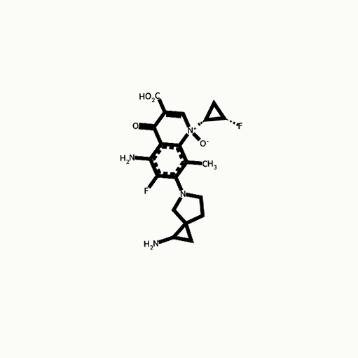 Cc1c(N2CCC3(CC3N)C2)c(F)c(N)c2c1[N+]([O-])([C@@H]1C[C@@H]1F)C=C(C(=O)O)C2=O